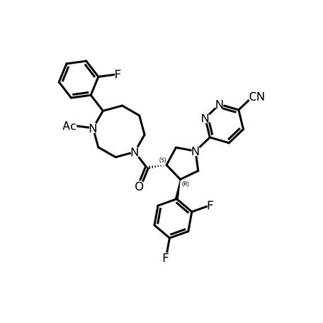 CC(=O)N1CCN(C(=O)[C@@H]2CN(c3ccc(C#N)nn3)C[C@H]2c2ccc(F)cc2F)CCCC1c1ccccc1F